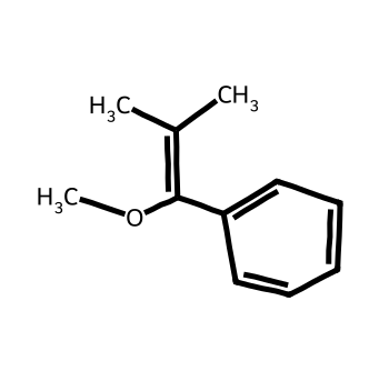 COC(=C(C)C)c1ccccc1